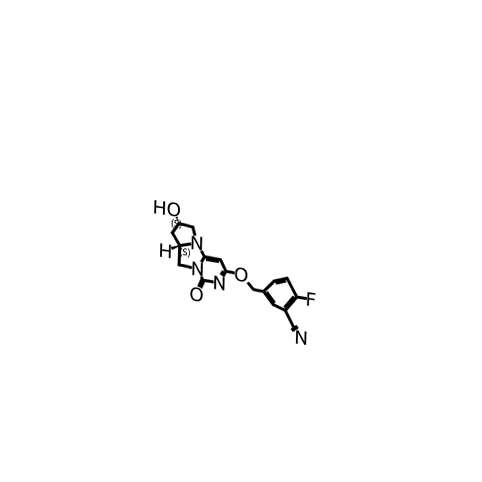 N#Cc1cc(COc2cc3n(c(=O)n2)C[C@@H]2C[C@H](O)CN32)ccc1F